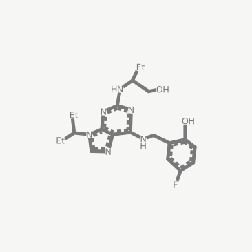 CCC(CO)Nc1nc(NCc2cc(F)ccc2O)c2ncn(C(CC)CC)c2n1